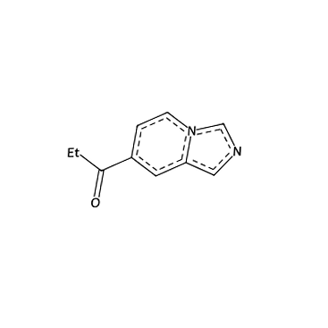 CCC(=O)c1ccn2cncc2c1